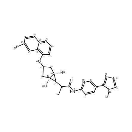 CC(C(=O)Nc1ccc(-c2nncn2C)cn1)C1[C@H]2CC(Oc3ccnc4ccc(F)cc34)C[C@@H]12